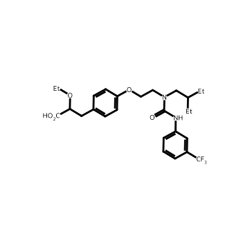 CCOC(Cc1ccc(OCCN(CC(CC)CC)C(=O)Nc2cccc(C(F)(F)F)c2)cc1)C(=O)O